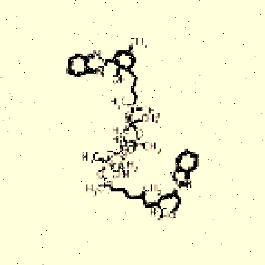 C=C(/C=C(C)\C=C(/CO)n1nc2ccccc2n1)CCC[Si](C)(C)O[Si](C)(C)O[Si](C)(C)O[Si](C)(C)O[Si](C)(C)O[Si](C)(C)CCCc1cc(C)cc(-n2nc3ccccc3n2)c1O